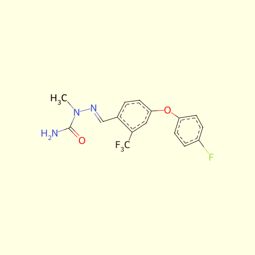 CN(N=Cc1ccc(Oc2ccc(F)cc2)cc1C(F)(F)F)C(N)=O